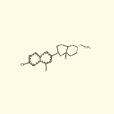 CC[C@@H]1CC[C@@H]2CC(c3cc(F)c4cc(Cl)ccc4c3)CCC2C1